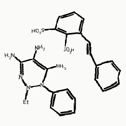 CCN1N=C(N)C(N)=C(N)N1c1ccccc1.O=S(=O)(O)c1cccc(C=Cc2ccccc2)c1S(=O)(=O)O